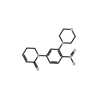 O=C1C=CCCN1c1ccc([N+](=O)[O-])c(N2CCOCC2)c1